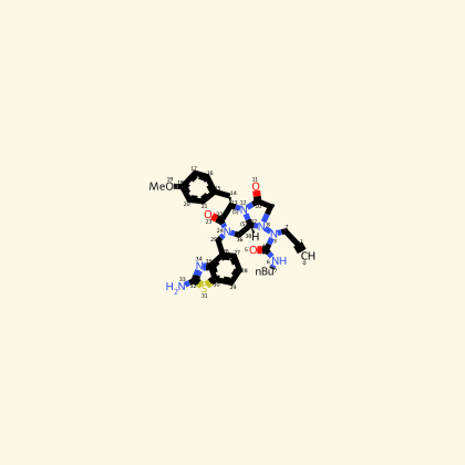 C#CCN(C(=O)NCCCC)N1CC(=O)N2[C@@H](Cc3ccc(OC)cc3)C(=O)N(Cc3cccc4sc(N)nc34)C[C@@H]21